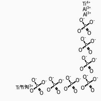 O=P([O-])([O-])[O-].O=P([O-])([O-])[O-].O=P([O-])([O-])[O-].O=P([O-])([O-])[O-].O=P([O-])([O-])[O-].O=P([O-])([O-])[O-].O=P([O-])([O-])[O-].[Al+3].[Al+3].[Al+3].[Ti+4].[Ti+4].[Ti+4]